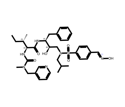 CC[C@H](C)[C@H](NC(=O)N(C)Cc1cccnc1)C(=O)N[C@@H](Cc1ccccc1)[C@H](O)CN(CC(C)C)S(=O)(=O)c1ccc(/C=N/O)cc1